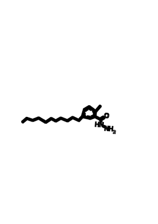 CCCCCCCCCCCc1ccc(C)c(C(=O)NN)c1